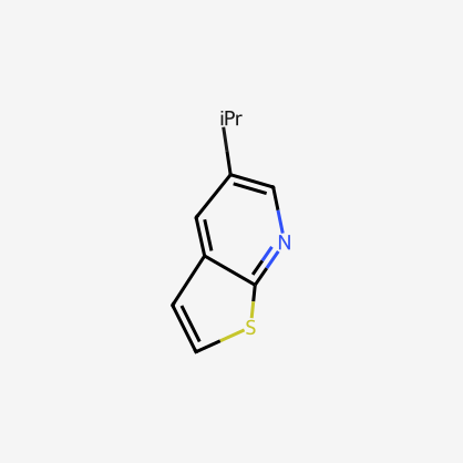 CC(C)c1cnc2sccc2c1